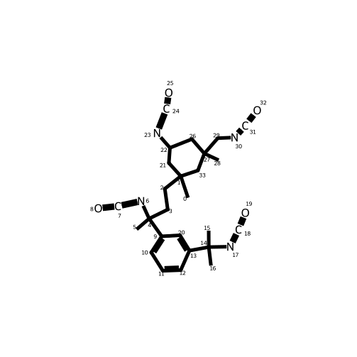 CC1(CCC(C)(N=C=O)c2cccc(C(C)(C)N=C=O)c2)CC(N=C=O)CC(C)(CN=C=O)C1